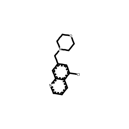 Clc1cc(CN2CCOCC2)cc2ncccc12